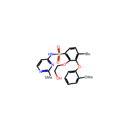 COc1ccccc1Oc1c(C(C)(C)C)ccc(S(=O)(=O)Nc2ccnc(SC)n2)c1OCCO